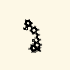 COc1ccccc1N1CCN(CCCN(CC2CC2)C(=O)c2ccccc2)CC1